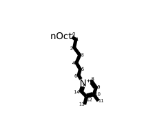 CCCCCCCCCCCCCC[n+]1ccc(C)c(C)c1